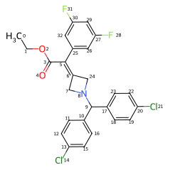 CCOC(=O)C(=C1CN(C(c2ccc(Cl)cc2)c2ccc(Cl)cc2)C1)c1cc(F)cc(F)c1